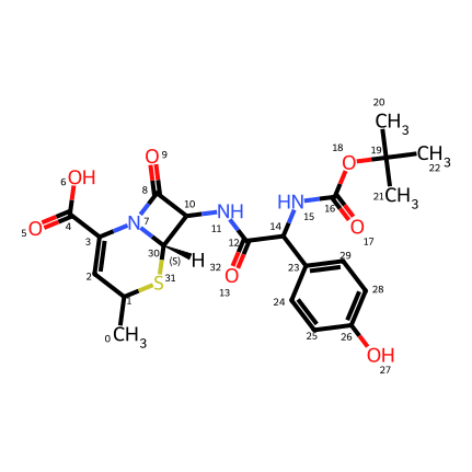 CC1C=C(C(=O)O)N2C(=O)C(NC(=O)C(NC(=O)OC(C)(C)C)c3ccc(O)cc3)[C@@H]2S1